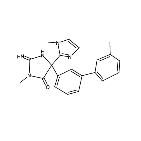 CN1C(=N)NC(c2cccc(-c3cccc(I)c3)c2)(c2nccn2C)C1=O